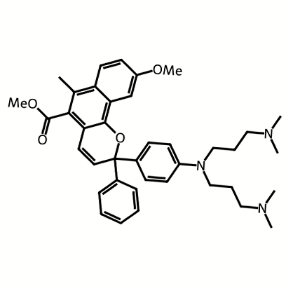 COC(=O)c1c2c(c3cc(OC)ccc3c1C)OC(c1ccccc1)(c1ccc(N(CCCN(C)C)CCCN(C)C)cc1)C=C2